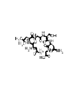 CC(C)C[C@H](NC(=O)[C@@H](N)CC(N)=O)C(=O)NCC(=O)N[C@@H](CO)C(=O)N[C@@H](CC(N)=O)C(=O)NCC(=O)O